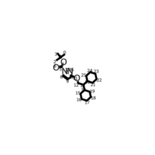 CC(C)(C)OC(=O)n1ccc(OCC(C2CCCCC2)C2CCCCC2)n1